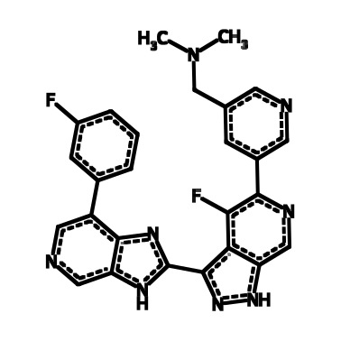 CN(C)Cc1cncc(-c2ncc3[nH]nc(-c4nc5c(-c6cccc(F)c6)cncc5[nH]4)c3c2F)c1